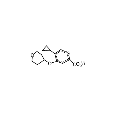 O=C(O)c1cc(OC2CCOCC2)c(C2CC2)cn1